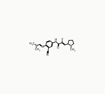 CN(C)C=Nc1ccc(NC(=O)/C(F)=C/C2CCCN2C)cc1C#N